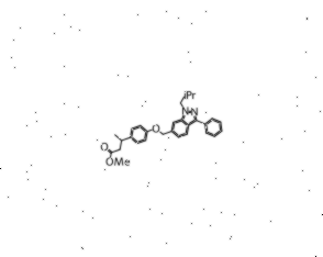 COC(=O)CC(C)c1ccc(OCc2ccc3c(-c4ccccc4)nn(CC(C)C)c3c2)cc1